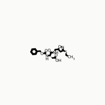 CCSC1=NOC(CNC(=O)[C@H](CC(=O)O)NC(=O)OCc2ccccc2)C1